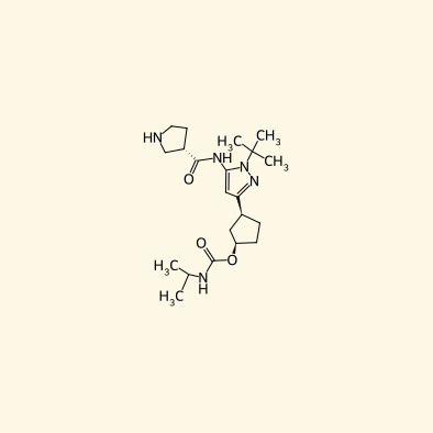 CC(C)NC(=O)O[C@@H]1CC[C@H](c2cc(NC(=O)[C@H]3CCNC3)n(C(C)(C)C)n2)C1